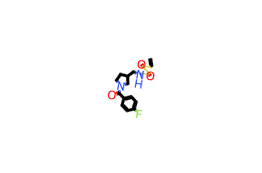 C=CS(=O)(=O)NCC1CCN(C(=O)c2ccc(F)cc2)C1